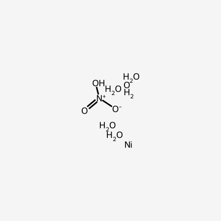 O.O.O.O.O.O=[N+]([O-])O.[Ni]